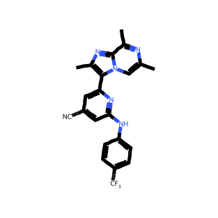 Cc1cn2c(-c3cc(C#N)cc(Nc4ccc(C(F)(F)F)cc4)n3)c(C)nc2c(C)n1